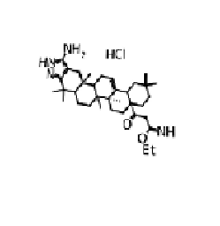 CCOC(=N)CC(=O)[C@]12CCC(C)(C)CC1C1=CCC3[C@@]4(C)Cc5c(n[nH]c5N)C(C)(C)C4CC[C@@]3(C)[C@]1(C)CC2.Cl